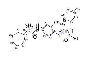 CCC(=O)N/C(=C/c1ccc(NC(=O)[C@@H](N)C2CCCCCC2)cc1)C(=O)N1CCN(C)CC1